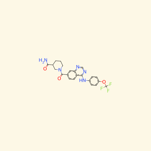 NC(=O)C1CCCN(C(=O)c2ccc3c(Nc4ccc(OC(F)(F)F)cc4)ncnc3c2)C1